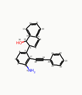 Nc1cccc(C2C=Cc3ccccc3C2O)c1C#Cc1ccccc1